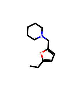 CCc1ccc(CN2CCCCC2)o1